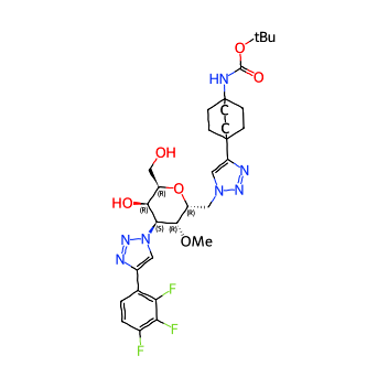 CO[C@@H]1[C@@H](n2cc(-c3ccc(F)c(F)c3F)nn2)[C@@H](O)[C@@H](CO)O[C@@H]1Cn1cc(C23CCC(NC(=O)OC(C)(C)C)(CC2)CC3)nn1